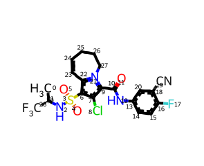 C[C@@H](NS(=O)(=O)c1c(Cl)c(C(=O)Nc2ccc(F)c(C#N)c2)n2c1C=CCCC2)C(F)(F)F